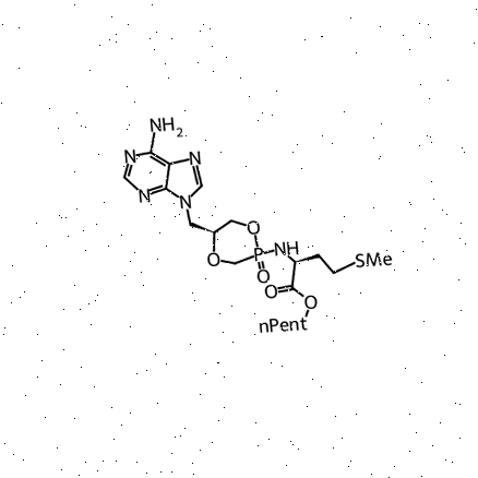 CCCCCOC(=O)[C@H](CCSC)NP1(=O)CO[C@@H](Cn2cnc3c(N)ncnc32)CO1